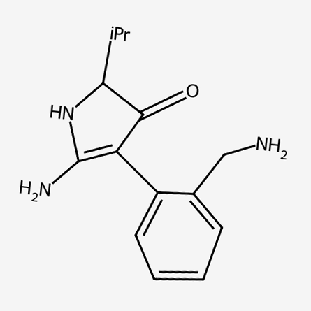 CC(C)C1NC(N)=C(c2ccccc2CN)C1=O